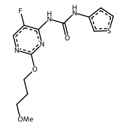 COCCCOc1ncc(F)c(NC(=O)Nc2ccsc2)n1